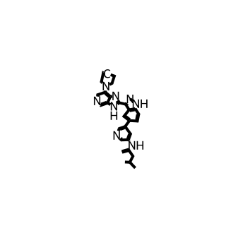 C=C(CC(C)C)Nc1cncc(-c2ccc3[nH]nc(-c4nc5c(N6CCCCC6)cncc5[nH]4)c3c2)c1